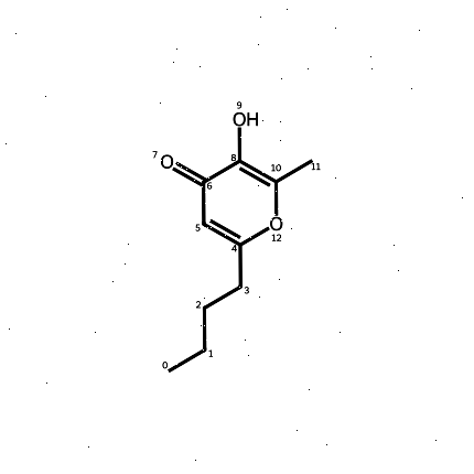 CCCCc1cc(=O)c(O)c(C)o1